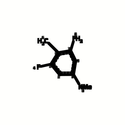 CNc1cc(F)c(C)c(P)c1